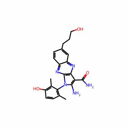 Cc1ccc(O)c(C)c1-n1c(N)c(C(N)=O)c2nc3cc(CCCO)ccc3nc21